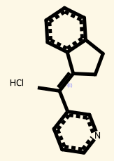 C/C(=C1/CCc2ccccc21)c1cccnc1.Cl